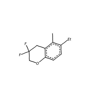 CCc1ccc2c(c1C)CC(F)(F)CO2